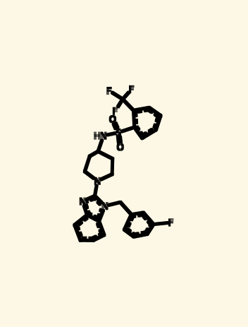 O=S(=O)(NC1CCN(c2nc3ccccc3n2Cc2cccc(F)c2)CC1)c1ccccc1C(F)(F)F